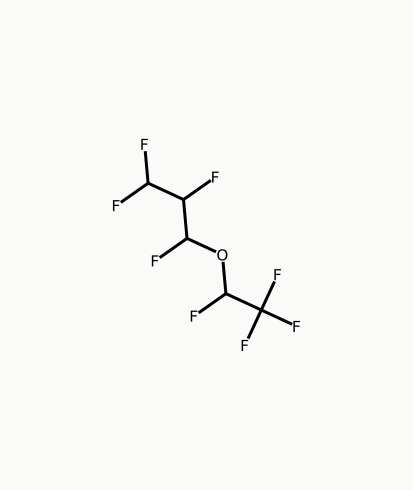 FC(F)C(F)C(F)OC(F)C(F)(F)F